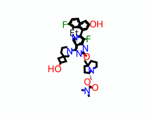 CCc1c(F)ccc2cc(O)cc(-c3ncc4c(N5CCCC6(CC(O)C6)C5)nc(OCC56CCCN5[C@H](COC(=O)N(C)C)CC6)nc4c3F)c12